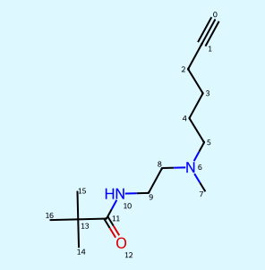 C#CCCCCN(C)CCNC(=O)C(C)(C)C